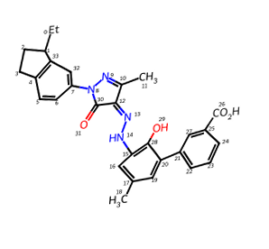 CCC1CCc2ccc(N3N=C(C)/C(=N/Nc4cc(C)cc(-c5cccc(C(=O)O)c5)c4O)C3=O)cc21